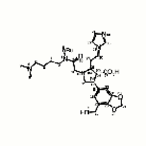 CCCCN(CCCCN(C)C)C(=O)CN1C[C@H](c2cc(CO)c3c(c2)OCO3)[C@@H](C(=O)O)[C@@H]1CCn1ccnc1